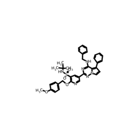 COc1ccc(COc2ncc(-c3nc(NCc4ccccc4)c4c(-c5ccccc5)ccn4n3)cc2S(=O)(=O)NC(C)(C)C)cc1